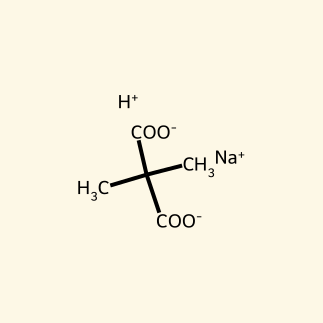 CC(C)(C(=O)[O-])C(=O)[O-].[H+].[Na+]